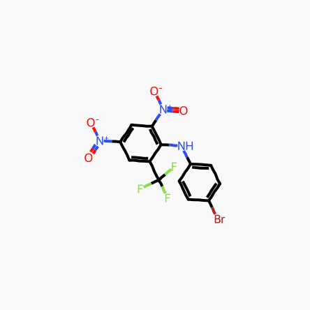 O=[N+]([O-])c1cc([N+](=O)[O-])c(Nc2ccc(Br)cc2)c(C(F)(F)F)c1